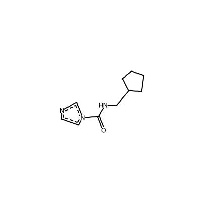 O=C(NCC1CCCC1)n1ccnc1